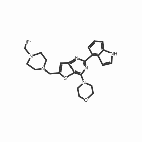 CC(C)CN1CCN(Cc2cc3nc(-c4cccc5[nH]ccc45)nc(N4CCOCC4)c3s2)CC1